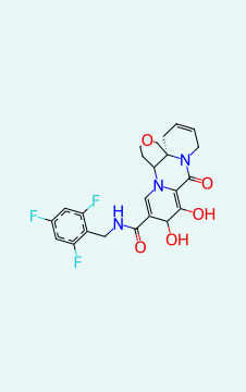 O=C(NCc1c(F)cc(F)cc1F)C1=CN2C(=C(O)C1O)C(=O)N1CC=CC[C@]13COCCC23